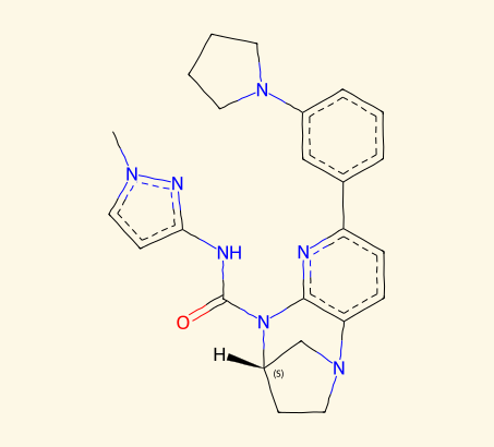 Cn1ccc(NC(=O)N2c3nc(-c4cccc(N5CCCC5)c4)ccc3N3CC[C@H]2C3)n1